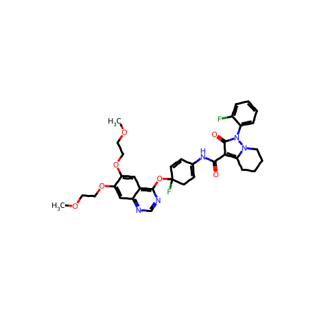 COCCOc1cc2ncnc(OC3(F)C=CC(NC(=O)c4c5n(n(-c6ccccc6F)c4=O)CCCC5)=CC3)c2cc1OCCOC